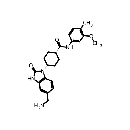 COc1cc(NC(=O)[C@H]2CC[C@@H](n3c(=O)[nH]c4cc(CN)ccc43)CC2)ccc1C